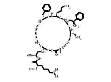 C=C(C[C@H]1CN[C@H](CN)CCCCNC(=O)CC[C@H](NC[C@H](CCCC)NC(=O)[C@H](CCCCN(CC)CC)NC(C)=O)CNCCCCCN[C@H](Cc2ccccc2)CN[C@@H](CCCN)CN1)c1ccccc1